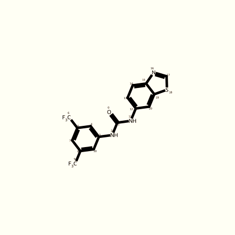 O=C(Nc1cc(C(F)(F)F)cc(C(F)(F)F)c1)Nc1ccc2ncsc2c1